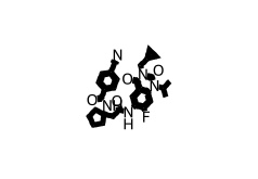 CC(C)n1c(=O)n(CC2CC2)c(=O)c2cc(NC(=O)CC3(NC(=O)c4ccc(C#N)cc4)CCCC3)c(F)cc21